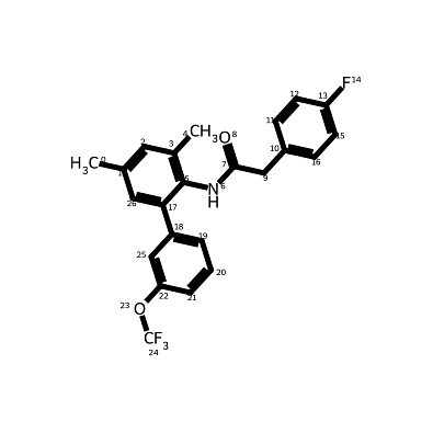 Cc1cc(C)c(NC(=O)Cc2ccc(F)cc2)c(-c2cccc(OC(F)(F)F)c2)c1